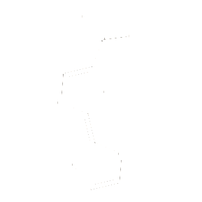 O=C(O)C1=COC(=C2OC=CO2)O1